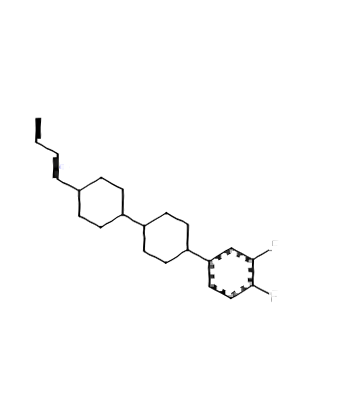 C=C/C=C/C1CCC(C2CCC(c3ccc(F)c(F)c3)CC2)CC1